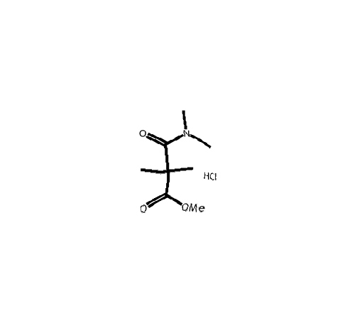 COC(=O)C(C)(C)C(=O)N(C)C.Cl